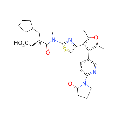 Cc1oc(C)c(-c2csc(N(C)C(=O)[C@@H](CC(=O)O)CC3CCCC3)n2)c1-c1ccc(N2CCCC2=O)nc1